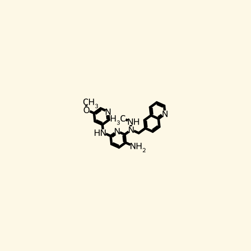 CNN(Cc1ccc2ncccc2c1)c1nc(Nc2cncc(OC)c2)ccc1N